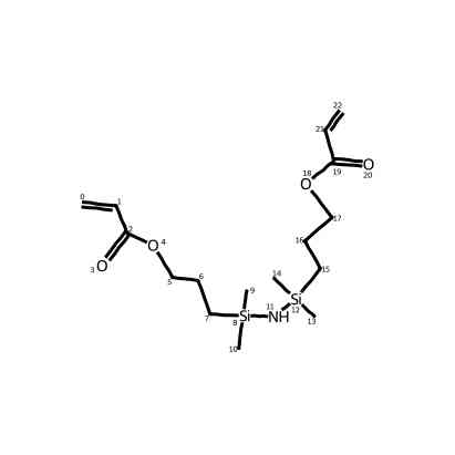 C=CC(=O)OCCC[Si](C)(C)N[Si](C)(C)CCCOC(=O)C=C